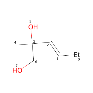 [CH2]C/C=C/C(C)(O)CO